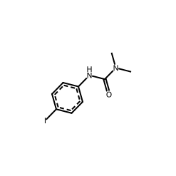 CN(C)C(=O)Nc1ccc(I)cc1